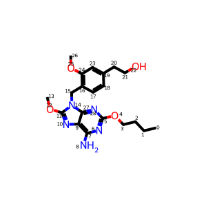 CCCCOc1nc(N)c2nc(OC)n(Cc3ccc(CCO)cc3OC)c2n1